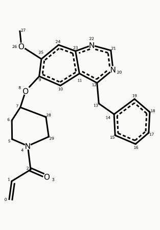 C=CC(=O)N1CCC(Oc2cc3c(Cc4ccccc4)ncnc3cc2OC)CC1